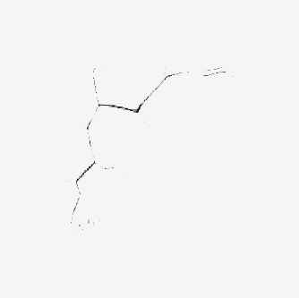 C=CCCC(C)CC(O)COC